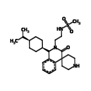 CC(C)[C@H]1CC[C@@H](C2c3ccccc3C3(CCNCC3)C(=O)N2CCNS(C)(=O)=O)CC1